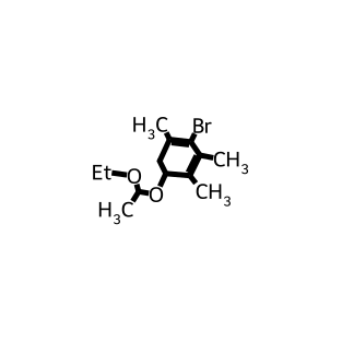 CCOC(C)OC1CC(C)=C(Br)C(C)=C1C